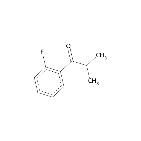 CC(C)C(=O)c1ccccc1F